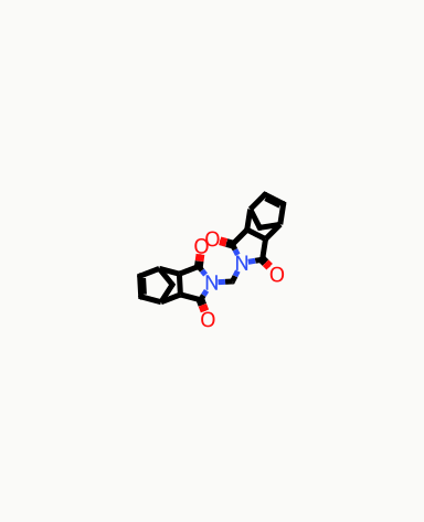 O=C1C2C3C=CC(C3)C2C(=O)N1CN1C(=O)C2C3C=CC(C3)C2C1=O